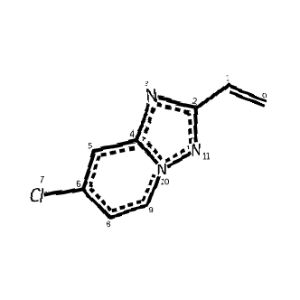 C=Cc1nc2cc(Cl)ccn2n1